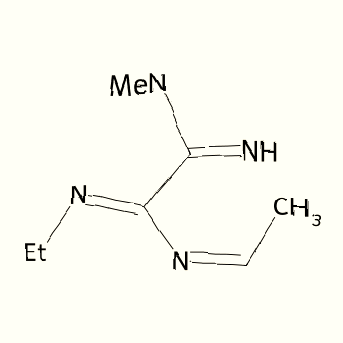 C/C=N\C(=N/CC)C(=N)NC